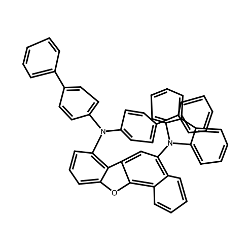 c1ccc(-c2ccc(N(c3ccc(-c4ccccc4)cc3)c3cccc4oc5c6ccccc6c(-n6c7ccccc7c7ccccc76)cc5c34)cc2)cc1